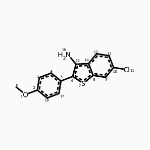 COc1ccc(-c2sc3cc(Cl)ccc3c2N)cc1